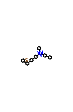 c1ccc(-c2ccc(-c3nc(-c4ccccc4)nc(-c4ccc(-c5ccc(-c6cccc7c6sc6ccccc67)cc5)cc4)n3)cc2)cc1